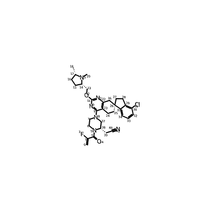 C=C(F)C(=O)N1CCN(c2nc(OC[C@@H]3CC[C@H](C)N3C)nc3c2CC[C@@]2(CCc4c(Cl)cccc42)C3)C[C@@H]1CC#N